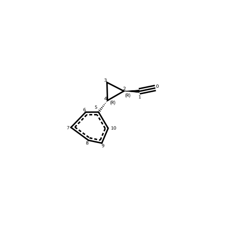 C#C[C@@H]1C[C@H]1c1ccccc1